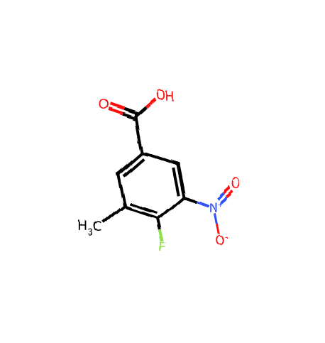 Cc1cc(C(=O)O)cc([N+](=O)[O-])c1F